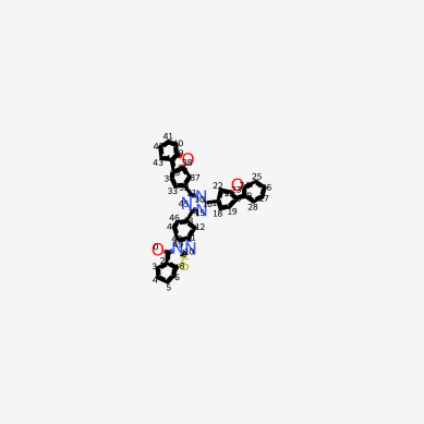 O=c1c2ccccc2sc2nc3cc(-c4nc(-c5ccc6c(c5)oc5ccccc56)nc(-c5ccc6c(c5)oc5ccccc56)n4)ccc3n12